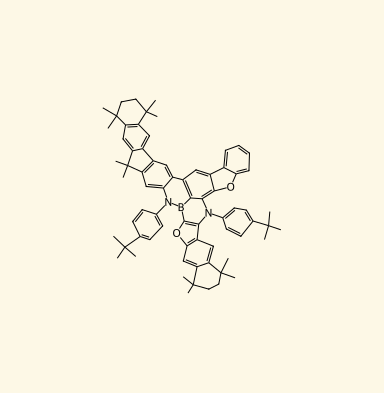 CC(C)(C)c1ccc(N2B3c4oc5cc6c(cc5c4N(c4ccc(C(C)(C)C)cc4)c4c3c(cc3c4oc4ccccc43)-c3cc4c(cc32)C(C)(C)c2cc3c(cc2-4)C(C)(C)CCC3(C)C)C(C)(C)CCC6(C)C)cc1